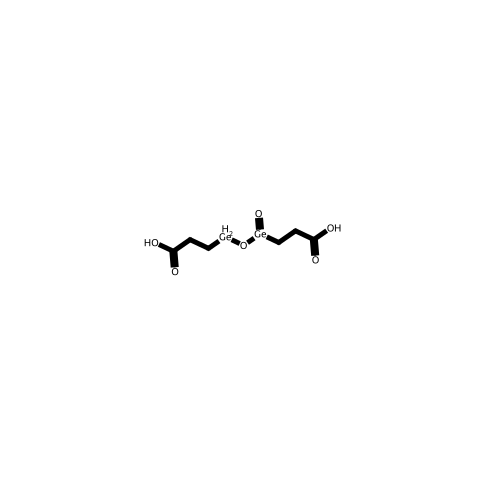 O=C(O)C[CH2][GeH2][O][Ge](=[O])[CH2]CC(=O)O